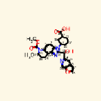 COC(=O)N1c2ccc3c(nc(C(O)c4cc5ccoc5cn4)n3C3CCCC(C(=O)O)C3)c2CC[C@@H]1C